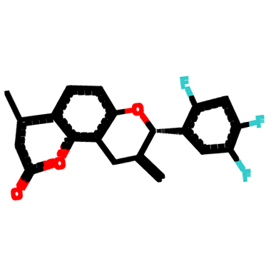 C=C1Cc2c(ccc3c(C)cc(=O)oc23)O[C@@H]1c1cc(F)c(F)cc1F